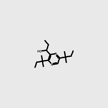 CCC(O)c1nc(C(C)(C)CC)cnc1C(C)(C)CC